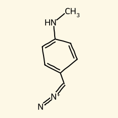 CNc1ccc(C=[N+]=[N-])cc1